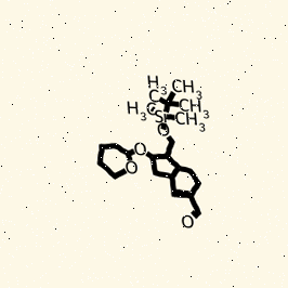 CC(C)(C)[Si](C)(C)OCC1C(OC2CCCCO2)CC2C=C(C=O)CCC21